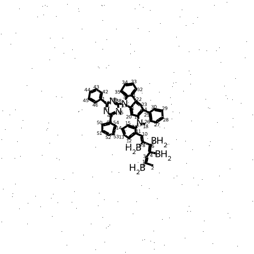 B/C(C)=C/C(B)=C(B)\C(B)=C\c1ccccc1N(C)c1cc2c(cc1-c1ccccc1)c1ccccc1n2-c1nc(-c2ccccc2)nc(-c2ccccc2)n1